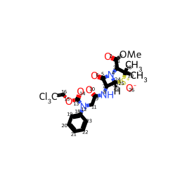 COC(=O)C1N2C(=O)C(NC(=O)CN(C(=O)OCC(Cl)(Cl)Cl)c3ccccc3)[C@H]2[S+]([O-])C1(C)C